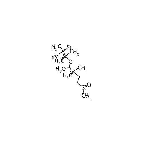 CCCC(C)(CC)[Si](C)(C)OC(C)[Si](C)(C)CC[Si](C)=O